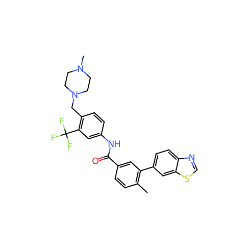 Cc1ccc(C(=O)Nc2ccc(CN3CCN(C)CC3)c(C(F)(F)F)c2)cc1-c1ccc2ncsc2c1